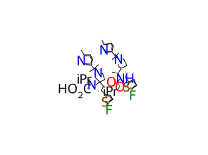 Cc1ccc(C(C)(C)N2CCC(CCc3ccc(F)s3)([C@H](C)N(C(=O)O)C(C)C)C2)cn1.Cc1ccc(C(C)(C)N2CC[C@@](CCc3ccc(F)s3)([C@H](C)NC(=O)OC(C)C)C2)cn1